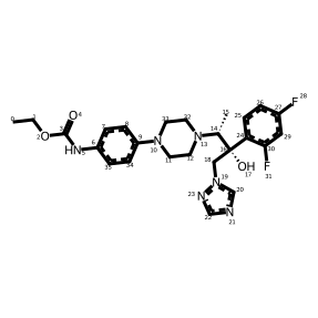 CCOC(=O)Nc1ccc(N2CCN([C@H](C)[C@](O)(Cn3cncn3)c3ccc(F)cc3F)CC2)cc1